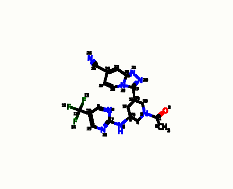 CC(=O)N1C[C@@H](Nc2ncc(C(F)(F)F)cn2)C[C@@H](c2nnc3cc(C#N)ccn23)C1